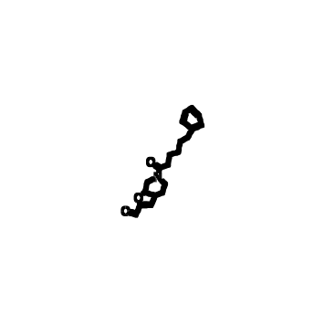 O=CC1=CC2CCN(C(=O)CCCCCc3ccccc3)CC2O1